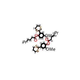 COc1cc(C2SCCCS2)ccc1OC(=O)CCCC(C)C.COc1ccc(OC(=O)CCCC(C)C)c(C2SCCCS2)c1